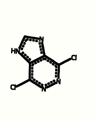 Clc1nnc(Cl)c2[nH]cnc12